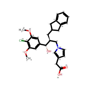 COc1cc([C@@H](O)[C@@H](CC2Cc3ccccc3C2)Cn2ccc(CC(=O)O)c2)cc(OC)c1Cl